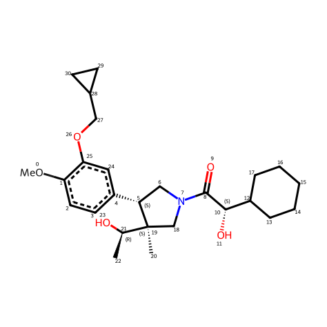 COc1ccc([C@@H]2CN(C(=O)[C@@H](O)C3CCCCC3)C[C@@]2(C)[C@@H](C)O)cc1OCC1CC1